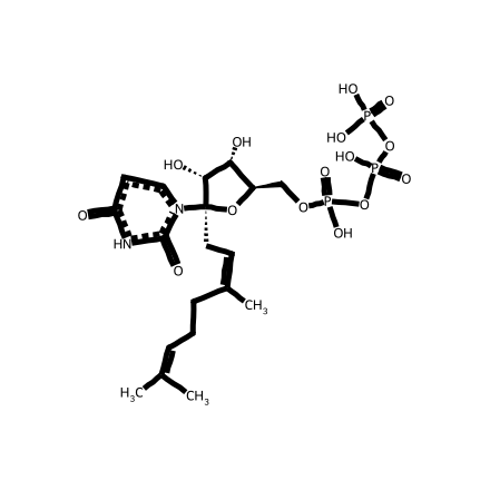 CC(C)=CCCC(C)=CC[C@@]1(n2ccc(=O)[nH]c2=O)O[C@H](COP(=O)(O)OP(=O)(O)OP(=O)(O)O)[C@@H](O)[C@H]1O